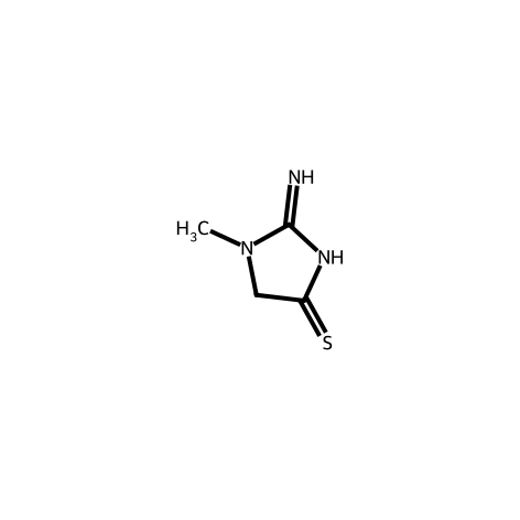 CN1CC(=S)NC1=N